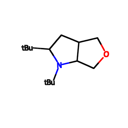 CC(C)(C)C1CC2COCC2N1C(C)(C)C